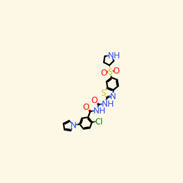 O=C(NC(=O)c1cc(-n2cccc2)ccc1Cl)Nc1nc2ccc(S(=O)(=O)[C@@H]3CCNC3)cc2s1